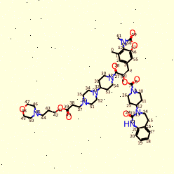 Cc1cc(C[C@@H](OC(=O)N2CCC(N3CCc4ccccc4NC3=O)CC2)C(=O)N2CCC(N3CCN(CCC(=O)OCCCN4CCOCC4)CC3)CC2)cc2oc(=O)n(C)c12